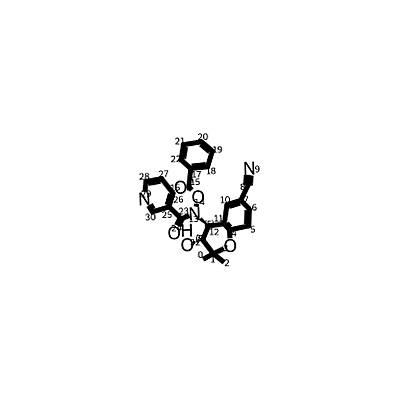 CC1(C)Oc2ccc(C#N)cc2[C@H](N(OC(=O)c2ccccc2)C(=O)c2cccnc2)[C@H]1O